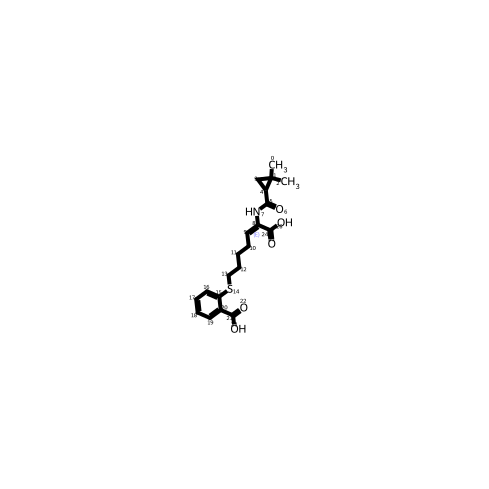 CC1(C)CC1C(=O)N/C(=C/CCCCSc1ccccc1C(=O)O)C(=O)O